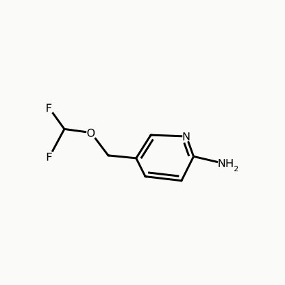 Nc1ccc(COC(F)F)cn1